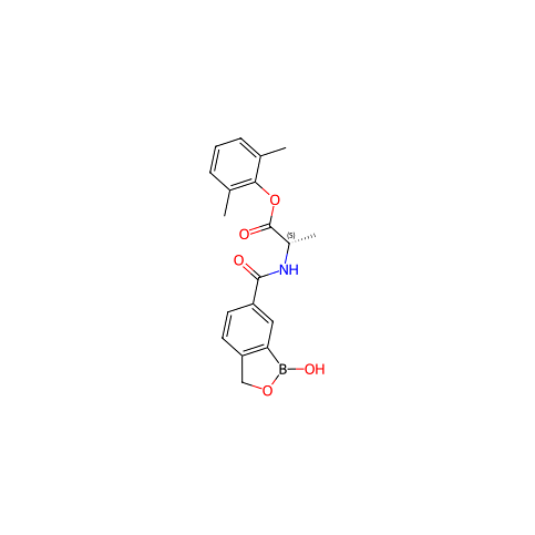 Cc1cccc(C)c1OC(=O)[C@H](C)NC(=O)c1ccc2c(c1)B(O)OC2